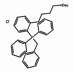 CCCCCCCCCCCCCCc1ccccc1[P+](Cc1ccccc1)(c1ccccc1)c1ccccc1.[Cl-]